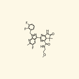 COCCNC(=O)c1nc(-c2nn(Cc3cccc(F)c3F)c3nc(C)c(F)cc23)nc2c1C(C)(C)C(=O)N2